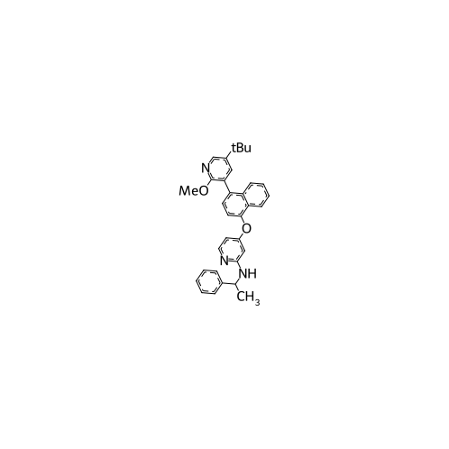 COc1ncc(C(C)(C)C)cc1-c1ccc(Oc2ccnc(NC(C)c3ccccc3)c2)c2ccccc12